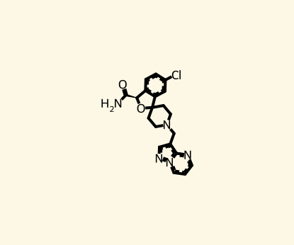 NC(=O)[C@@H]1OC2(CCN(Cc3cnn4cccnc34)CC2)c2cc(Cl)ccc21